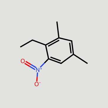 CCc1c(C)cc(C)cc1[N+](=O)[O-]